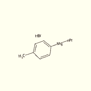 Br.CC[CH2][Mg][c]1ccc(C)cc1